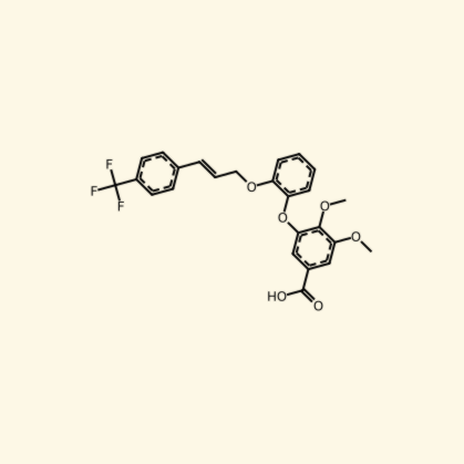 COc1cc(C(=O)O)cc(Oc2ccccc2OCC=Cc2ccc(C(F)(F)F)cc2)c1OC